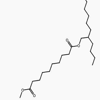 CCCCCCC(CCCC)COC(=O)CCCCCCCCC(=O)OC